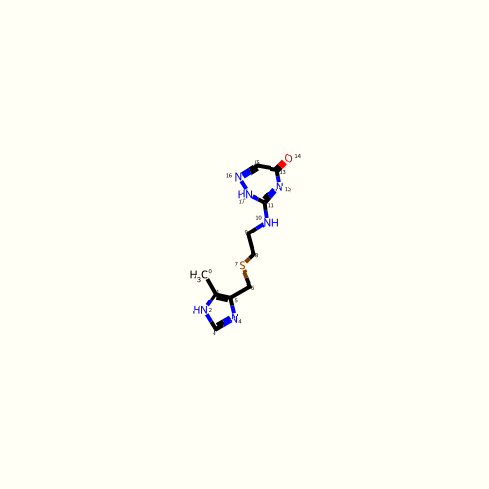 Cc1[nH]cnc1CSCCNc1nc(=O)cn[nH]1